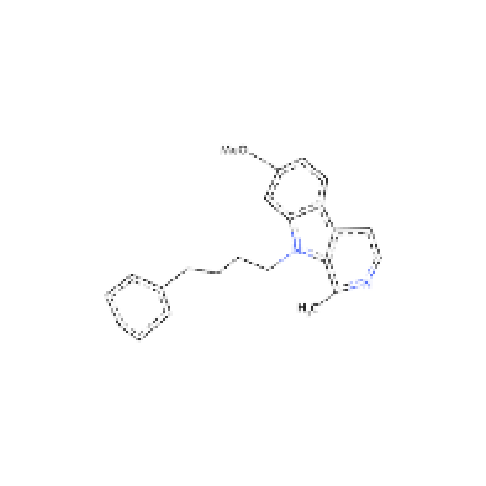 COc1ccc2c3ccnc(C)c3n(CCCCc3ccccc3)c2c1